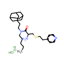 CCCCCN(CCC12CC3CC(CC(C3)C1)C2)C(=O)C(N)CSCCc1ccncc1.Cl.Cl